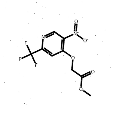 COC(=O)COc1cc(C(F)(F)F)ncc1[N+](=O)[O-]